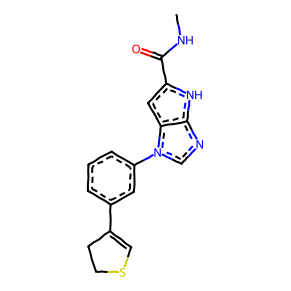 CNC(=O)c1cc2c(ncn2-c2cccc(C3=CSCC3)c2)[nH]1